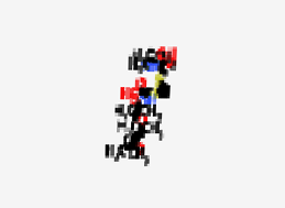 CC(C)(C)NC(CSC1CCC1SCC(NC(=O)C(C)(C)COC(C)(C)CCC(=O)C(C)(C)C)C(=O)O)C(=O)O